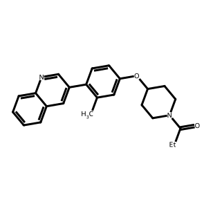 CCC(=O)N1CCC(Oc2ccc(-c3cnc4ccccc4c3)c(C)c2)CC1